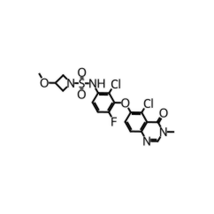 COC1CN(S(=O)(=O)Nc2ccc(F)c(Oc3ccc4ncn(C)c(=O)c4c3Cl)c2Cl)C1